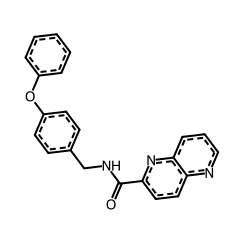 O=C(NCc1ccc(Oc2ccccc2)cc1)c1ccc2ncccc2n1